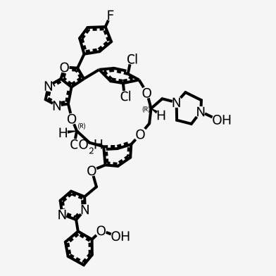 O=C(O)[C@H]1Cc2cc(ccc2OCc2ccnc(-c3ccccc3OO)n2)OC[C@@H](CN2CCN(O)CC2)Oc2c(Cl)cc(cc2Cl)-c2c(-c3ccc(F)cc3)oc3ncnc(c23)O1